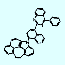 C1=Cc2cccc3c2c2c4c1cccc4ccc2n3-c1ccc(-c2nc(-c3ccccc3)c3ccccc3n2)c2ccccc12